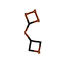 C1SCC1SC1SSS1